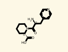 N[C@@H](Cc1ccncc1)C(=O)N1CCCC[C@H]1C(=O)O